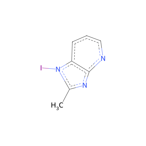 Cc1nc2ncccc2n1I